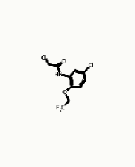 O=C(CCl)Nc1cc(Cl)ccc1OCC(F)(F)F